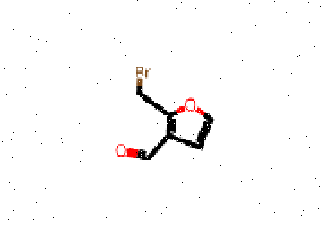 O=Cc1ccoc1CBr